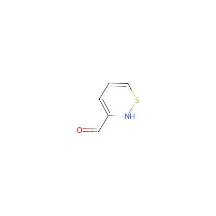 O=CC1=CC=CSN1